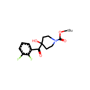 CC(C)(C)OC(=O)N1CCC(O)(C(=O)c2cccc(F)c2F)CC1